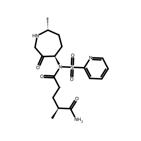 C[C@@H]1CC[C@@H](N(C(=O)[CH]C[C@H](C)C(N)=O)S(=O)(=O)c2ccccn2)C(=O)CN1